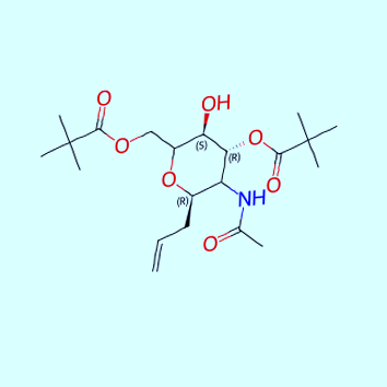 C=CC[C@H]1OC(COC(=O)C(C)(C)C)[C@@H](O)[C@H](OC(=O)C(C)(C)C)C1NC(C)=O